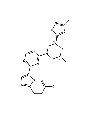 Cc1noc([C@@H]2CN(c3ccnc(-c4cnc5ccc(Cl)cn45)n3)C[C@H](C)O2)n1